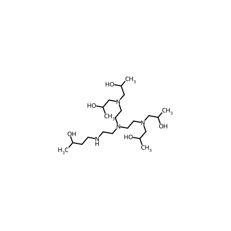 CC(O)CCNCCN(CCN(CC(C)O)CC(C)O)CCN(CC(C)O)CC(C)O